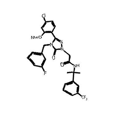 COc1cc(Cl)ccc1-c1nn(CC(=O)NC(C)(C)c2cccc(C(F)(F)F)c2)c(=O)n1Cc1cccc(F)c1